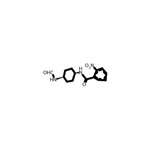 O=CN[C@H]1CC[C@@H](NC(=O)c2ccccc2[N+](=O)[O-])CC1